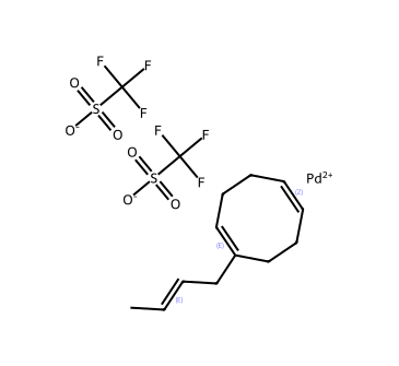 C/C=C/C/C1=C/CC/C=C\CC1.O=S(=O)([O-])C(F)(F)F.O=S(=O)([O-])C(F)(F)F.[Pd+2]